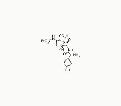 CCOC(=O)NC1=C(C(=O)O)N2C(=O)C(NC(=O)C(N)c3ccc(O)cc3)[C@@H]2SC1